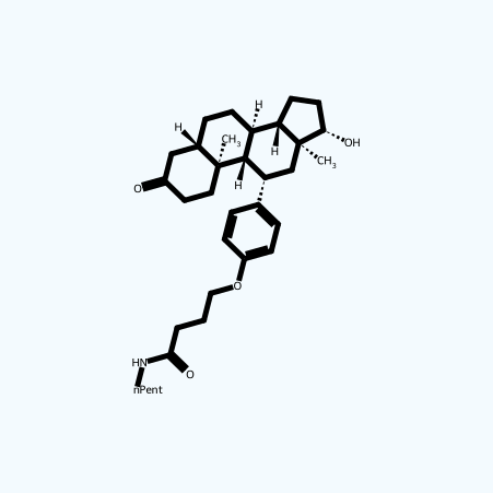 CCCCCNC(=O)CCCOc1ccc([C@H]2C[C@]3(C)[C@@H](O)CC[C@H]3[C@@H]3CC[C@H]4CC(=O)CC[C@]4(C)[C@H]32)cc1